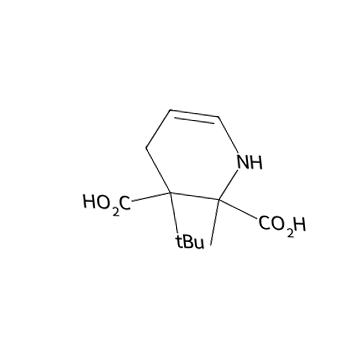 CC(C)(C)C1(C(=O)O)CC=CNC1(C)C(=O)O